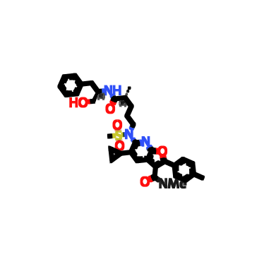 CNC(=O)c1c(-c2ccc(C)cc2)oc2nc(N(CCC[C@@H](C)C(=O)N[C@@H](CO)Cc3ccccc3)S(C)(=O)=O)c(C3CC3)cc12